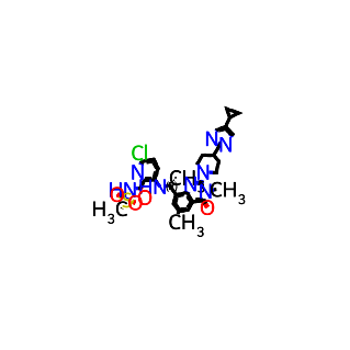 Cc1cc([C@@H](C)Nc2ccc(Cl)nc2C(=O)NS(C)(=O)=O)c2nc(N3CCC(c4ncc(C5CC5)cn4)CC3)n(C)c(=O)c2c1